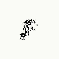 C[C@@H]1CN(C(=O)[C@@H](NC(=O)c2ccc3c(c2)OCO3)C(C)(C)C)[C@@H]2C(=O)CO[C@H]12